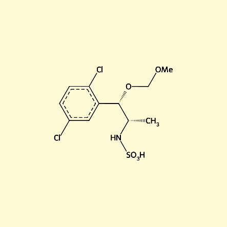 COCO[C@@H](c1cc(Cl)ccc1Cl)[C@H](C)NS(=O)(=O)O